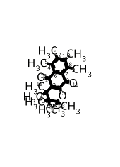 Cc1c(C)c(C)c2c(c1C)C(=O)C1=C(C2=O)C(C)(C)C(C)(C)C(C)(C)O1